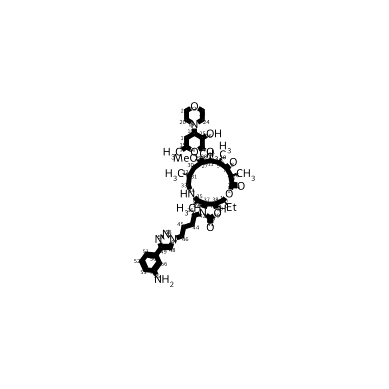 CC[C@H]1OC(=O)[C@H](C)C(=O)[C@H](C)[C@@H](O[C@@H]2OC(C)CC(N3CCOCC3)C2O)[C@](C)(OC)C[C@@H](C)CN[C@H](C)[C@@H]2[C@@H]1OC(=O)N2CCCCn1cc(-c2cccc(N)c2)nn1